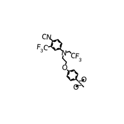 [C-]#[N+]c1ccc(N(CCOc2ccc(S(C)(=O)=O)cc2)CC(F)(F)F)cc1C(F)(F)F